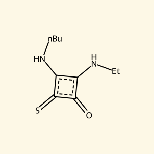 CCCCNc1c(NCC)c(=O)c1=S